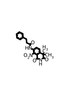 CC1(C)C(=O)NC(=O)c2c1ccc(NC(=O)CCc1ccccc1)c2[N+](=O)[O-]